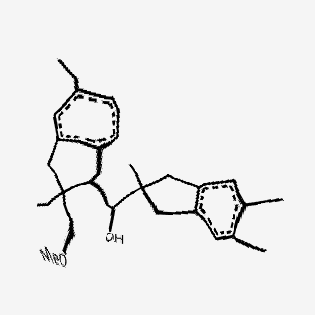 COCC1(C)Cc2cc(C)ccc2C1C(O)C1(C)Cc2cc(C)c(C)cc2C1